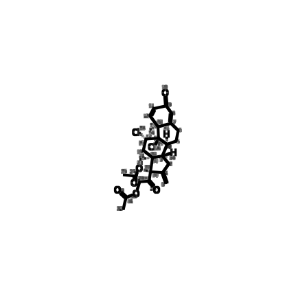 C=C1C[C@H]2[C@@H]3CCC4=CC(=O)C=C[C@]4(C)[C@@]3(Cl)[C@@H](Cl)C[C@]2(C)[C@]1(OC(C)=O)C(=O)COC(C)=O